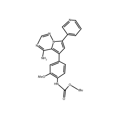 COc1cc(-c2cc(-c3cccnc3)n3ncnc(N)c23)ccc1NC(=O)OC(C)(C)C